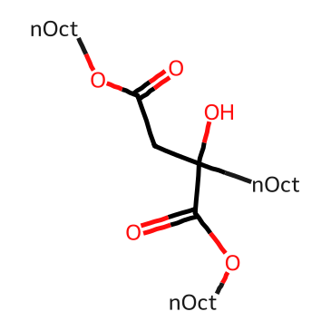 CCCCCCCCOC(=O)CC(O)(CCCCCCCC)C(=O)OCCCCCCCC